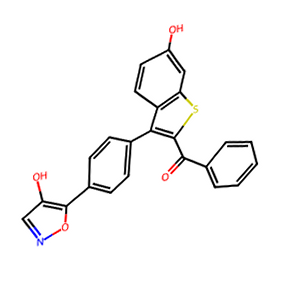 O=C(c1ccccc1)c1sc2cc(O)ccc2c1-c1ccc(-c2oncc2O)cc1